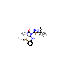 CCSc1ccccc1NC1CN(C)C(=O)N1c1nnc(C(C)(C)C)s1